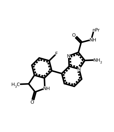 CCCNC(=O)c1nc2c(-c3c(F)ccc4c3NC(=O)C4C)cccn2c1N